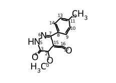 COC1C(=O)NN=C(c2ccc(C)cc2)C1=C=O